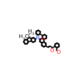 CC1(C)c2ccccc2-c2ccc(N(c3ccc4cc(C=CC(=O)c5ccccc5C=O)ccc4c3)c3ccccc3-c3ccccc3)cc21